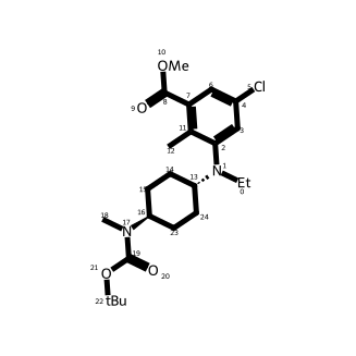 CCN(c1cc(Cl)cc(C(=O)OC)c1C)[C@H]1CC[C@H](N(C)C(=O)OC(C)(C)C)CC1